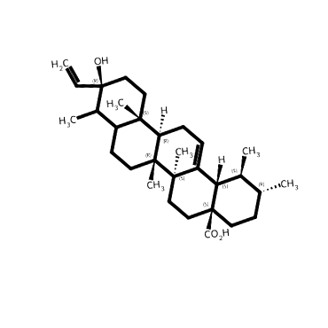 C=C[C@]1(O)CC[C@@]2(C)C(CC[C@]3(C)[C@@H]2CC=C2[C@@H]4[C@@H](C)[C@H](C)CC[C@]4(C(=O)O)CC[C@]23C)C1C